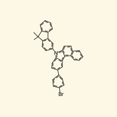 CC1(C)c2ccccc2-c2cc(-n3c4ccc(-c5ccc(Br)cc5)cc4c4c5ccccc5ccc43)ccc21